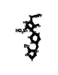 CCc1nccn1Cc1ccc(-c2c(S(=O)(=O)O)sc(CC(C)C)c2C)cc1